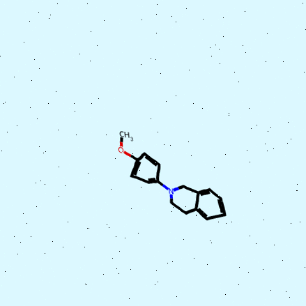 COc1ccc(N2CCc3ccccc3C2)cc1